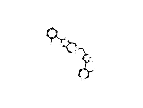 Fc1cnccc1-c1cc(Cn2cc3nc(-c4ccccc4F)nc-3cn2)on1